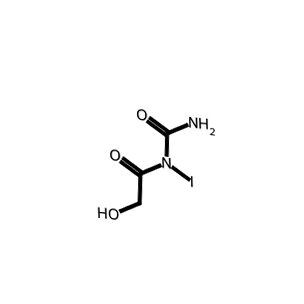 NC(=O)N(I)C(=O)CO